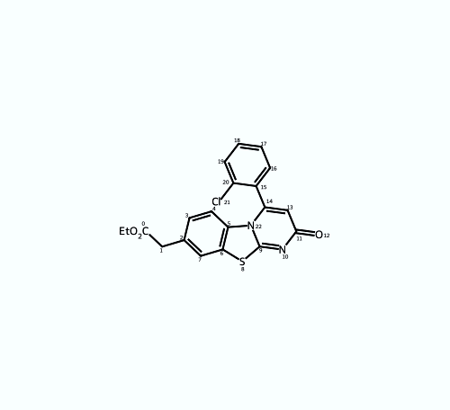 CCOC(=O)Cc1ccc2c(c1)sc1nc(=O)cc(-c3ccccc3Cl)n12